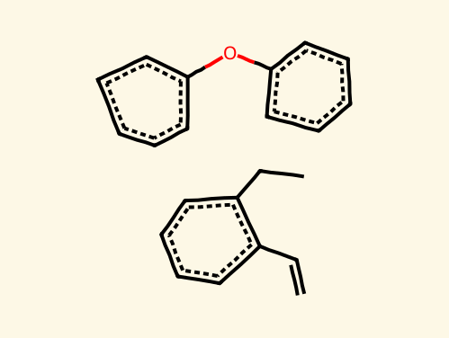 C=Cc1ccccc1CC.c1ccc(Oc2ccccc2)cc1